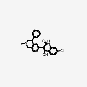 CN1Cc2ccc(-c3c(O)c4ccc(Cl)cc4[nH]c3=O)cc2C(c2ccccc2)C1